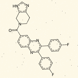 O=C(c1ccc2nc(-c3ccc(F)cc3)c(-c3ccc(F)cc3)nc2c1)N1CCc2nc[nH]c2C1